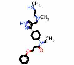 CCN(C(=O)CCOc1ccccc1)[C@H]1CC[C@@H](c2n[nH]cc2CN(C)CCNC)CC1